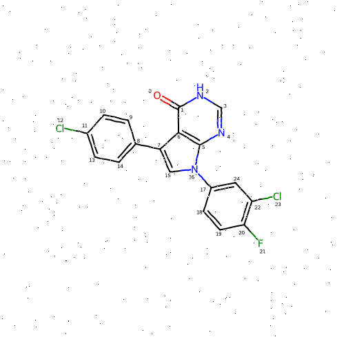 O=c1[nH]cnc2c1c(-c1ccc(Cl)cc1)cn2-c1ccc(F)c(Cl)c1